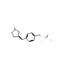 CC(C)[C@@H](C)NCc1ccc(/C=C2/CCC(I)C2)cc1